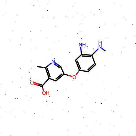 CNc1ccc(Oc2cnc(C)c(C(=O)O)c2)cc1N